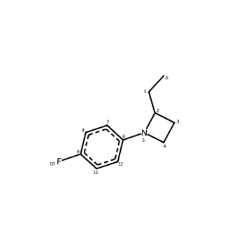 CCC1CCN1c1ccc(F)cc1